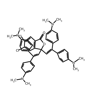 CN(C)c1ccc(C(=CC2(C=C(c3ccc(N(C)C)cc3)c3ccc(N(C)C)cc3)OC(=O)c3cc(Cl)c(Cl)cc32)c2ccc(N(C)C)cc2)cc1